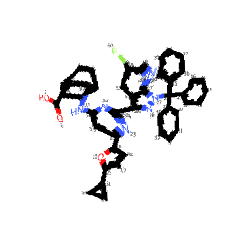 O=C(O)C1C2CCC(CC2)C1Nc1cc(-c2ccc(C3CC3)o2)nc(-c2nn(C(c3ccccc3)(c3ccccc3)c3ccccc3)c3ncc(F)cc23)n1